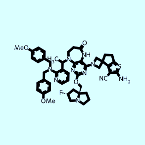 COc1ccc(CN(Cc2ccc(OC)cc2)c2ncccc2C(C)N2CCC(=O)Nc3c(N4CC5(CCc6sc(N)c(C#N)c65)C4)nc(OC[C@@]45CCCN4C[C@H](F)C5)nc32)cc1